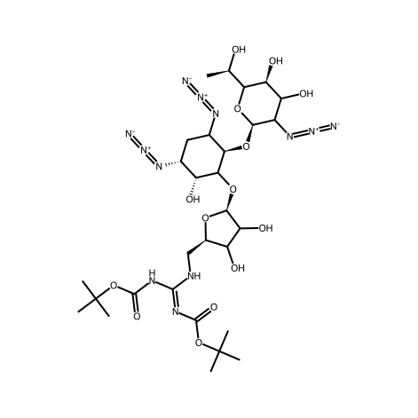 C[C@@H](O)C1O[C@H](O[C@@H]2C(N=[N+]=[N-])C[C@@H](N=[N+]=[N-])[C@@H](O)C2O[C@@H]2O[C@H](CN/C(=N\C(=O)OC(C)(C)C)NC(=O)OC(C)(C)C)C(O)C2O)C(N=[N+]=[N-])C(O)[C@@H]1O